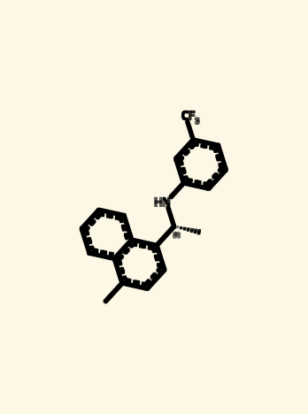 Cc1ccc([C@@H](C)Nc2cccc(C(F)(F)F)c2)c2ccccc12